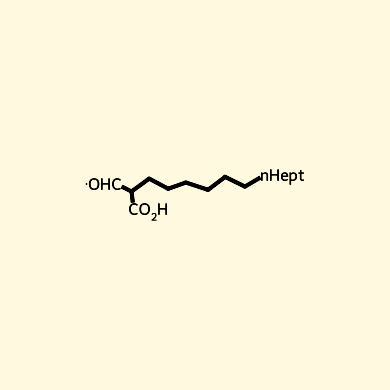 CCCCCCCCCCCCCC([C]=O)C(=O)O